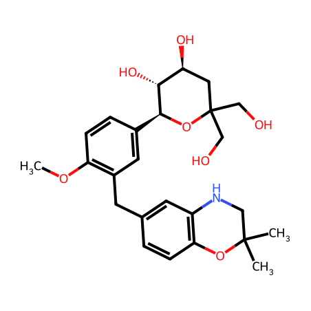 COc1ccc([C@@H]2OC(CO)(CO)C[C@H](O)[C@H]2O)cc1Cc1ccc2c(c1)NCC(C)(C)O2